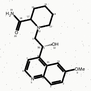 COc1ccc2nccc([C@@H](O)CN3CC[CH]CC3C(N)=O)c2c1